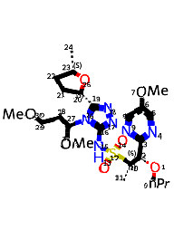 CCCO[C@@H](c1ncc(OC)cn1)[C@H](C)S(=O)(=O)Nc1nnc([C@@H]2CC[C@H](C)O2)n1C(CCOC)OC